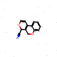 N#CC1OC=CC2=C1COc1ccccc12